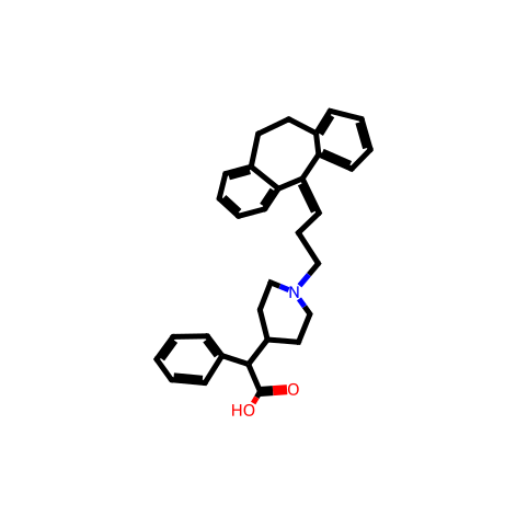 O=C(O)C(c1ccccc1)C1CCN(CCC=C2c3ccccc3CCc3ccccc32)CC1